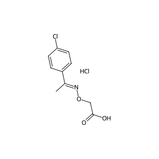 CC(=NOCC(=O)O)c1ccc(Cl)cc1.Cl